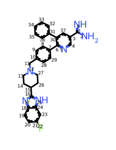 N=C(N)c1cnc(-c2ccc(CN3CCC(c4nc5ccc(F)cc5[nH]4)CC3)cc2)c(-c2ccccc2)c1